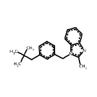 Cc1nc2ccccc2n1Cc1cccc(CC(C)(C)C)c1